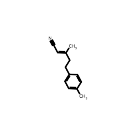 CC(=CC#N)CCc1ccc(C)cc1